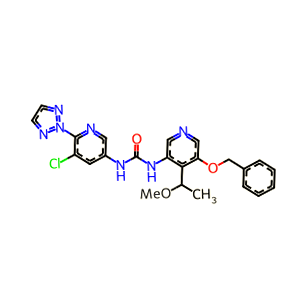 COC(C)c1c(NC(=O)Nc2cnc(-n3nccn3)c(Cl)c2)cncc1OCc1ccccc1